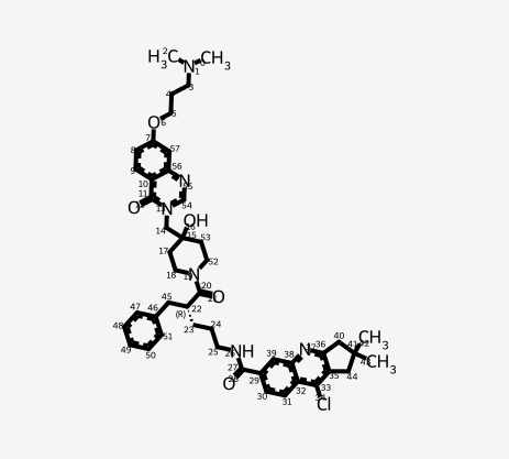 CN(C)CCCOc1ccc2c(=O)n(CC3(O)CCN(C(=O)[C@H](CCCNC(=O)c4ccc5c(Cl)c6c(nc5c4)CC(C)(C)C6)Cc4ccccc4)CC3)cnc2c1